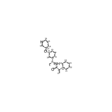 C=C(C(=O)N[C@@H](C)c1cccc(Oc2cccnc2)c1)c1ccccc1